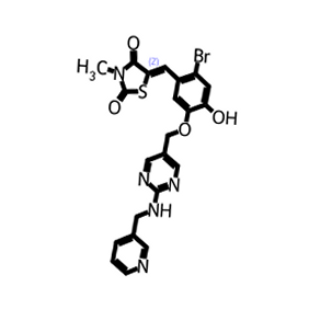 CN1C(=O)S/C(=C\c2cc(OCc3cnc(NCc4cccnc4)nc3)c(O)cc2Br)C1=O